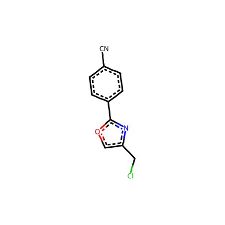 N#Cc1ccc(-c2nc(CCl)co2)cc1